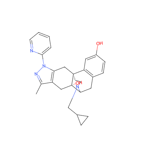 Cc1nn(-c2ccccn2)c2c1C[C@]1(O)C3Cc4ccc(O)cc4[C@]1(CCN3CC1CC1)C2